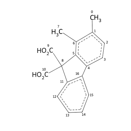 Cc1ccc2c(c1C)C(C(=O)O)(C(=O)O)c1ccccc1-2